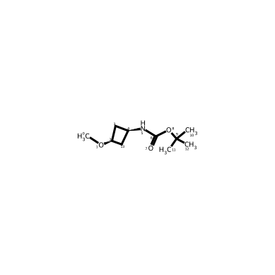 CO[C@H]1C[C@@H](NC(=O)OC(C)(C)C)C1